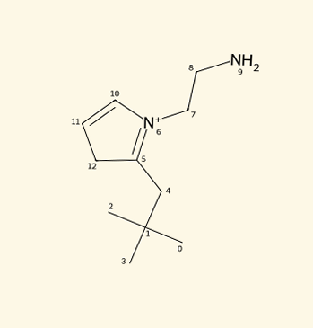 CC(C)(C)CC1=[N+](CCN)C=CC1